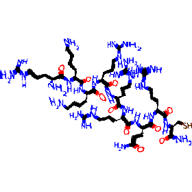 N=C(N)NCCC[C@H](NC(=O)[C@H](CCC(N)=O)NC(=O)[C@H](CCCNC(=N)N)NC(=O)[C@H](CCCNC(=N)N)NC(=O)[C@H](CCCNC(=N)N)NC(=O)[C@H](CCCCN)NC(=O)[C@H](CCCCN)NC(=O)[C@@H](N)CCCNC(=N)N)C(=O)N[C@@H](CS)C(N)=O